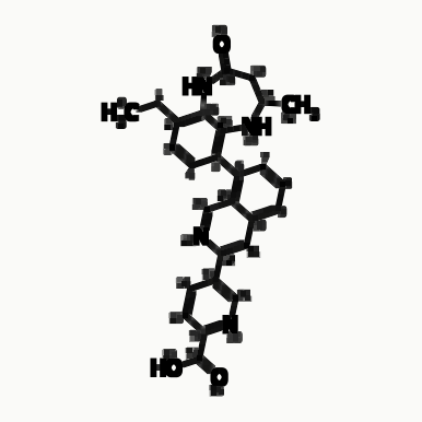 CCc1ccc(-c2cccc3cc(-c4ccc(C(=O)O)nc4)ncc23)c2c1NC(=O)CC(C)N2